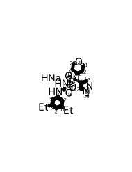 CCc1cc(CC)cc(NC(=O)NS(=O)(=O)N(c2cnn(C)c2)C2CCOCC2)c1.[NaH]